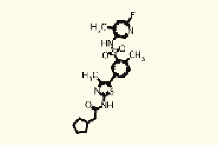 Cc1cc(F)ncc1NS(=O)(=O)c1cc(-c2sc(NC(=O)CC3CCCC3)nc2C)ccc1C